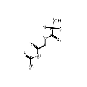 O=C(COC(=O)C(F)(S)S(=O)(=O)O)NC(=O)C(F)(F)F